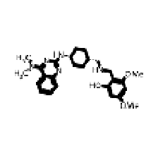 COc1cc(O)c(CNC[C@H]2CC[C@@H](Nc3nc(N(C)C)c4ccccc4n3)CC2)c(OC)c1